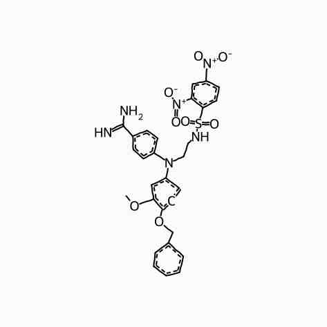 COc1cc(N(CCNS(=O)(=O)c2ccc([N+](=O)[O-])cc2[N+](=O)[O-])c2ccc(C(=N)N)cc2)ccc1OCc1ccccc1